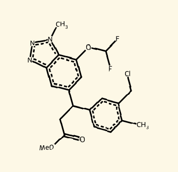 COC(=O)CC(c1ccc(C)c(CCl)c1)c1cc(OC(F)F)c2c(c1)nnn2C